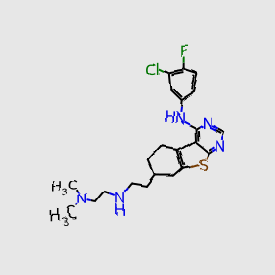 CN(C)CCNCCC1CCc2c(sc3ncnc(Nc4ccc(F)c(Cl)c4)c23)C1